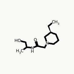 CC[C@H]1CCCN(CC(=O)NC(C)CO)C1